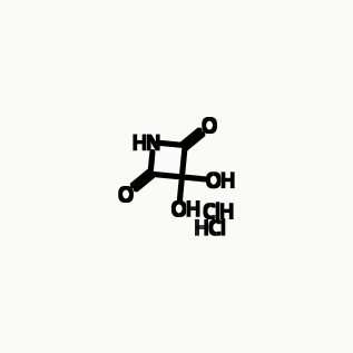 Cl.Cl.O=C1NC(=O)C1(O)O